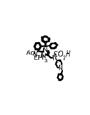 CC(=O)N(C)Cc1nc(CN(C(=O)O)C2CCN(Cc3ccccc3)CC2)cn1C(c1ccccc1)(c1ccccc1)c1ccccc1